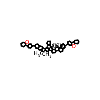 CC1(C)c2cc3c(cc2-c2cc4ccc(-c5ccc6c(c5)oc5ccccc56)cc4cc21)C(C)(c1ccccc1)c1c-3ccc2c1C(C)(C)c1c-2ccc2cc(-c3ccc4c(c3)oc3ccccc34)ccc12